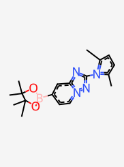 Cc1ccc(C)n1-c1nc2cc(B3OC(C)(C)C(C)(C)O3)ccn2n1